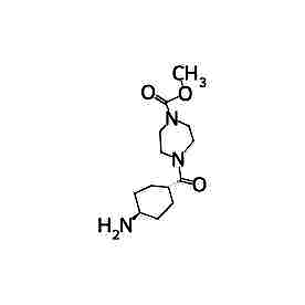 COC(=O)N1CCN(C(=O)[C@H]2CC[C@H](N)CC2)CC1